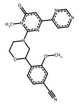 COc1cc(C#N)ccc1C1CN(c2nc(-c3ccncn3)cc(=O)n2C)CCO1